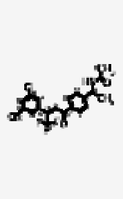 CC(=O)N[C@@H](C)c1ccc(C(=O)/C=C(/c2cc(Cl)cc(Cl)c2)C(F)(F)F)cc1